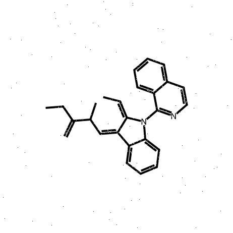 C=C(CC)C(C)/C=c1\c(=C/C)n(-c2nccc3ccccc23)c2ccccc12